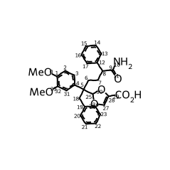 COc1ccc(C(CCC(C(N)=O)c2ccccc2)(Cc2ccccc2)C2OC=C(C(=O)O)O2)cc1OC